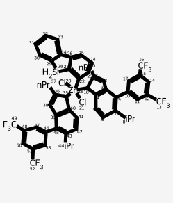 CCCC1=Cc2c(ccc(C(C)C)c2-c2cc(C(F)(F)F)cc(C(F)(F)F)c2)[CH]1[Zr]([Cl])([Cl])([c]1cccc2c1[SiH2]c1ccccc1-2)[CH]1C(CCC)=Cc2c1ccc(C(C)C)c2-c1cc(C(F)(F)F)cc(C(F)(F)F)c1